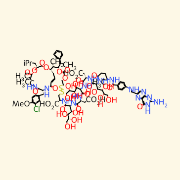 COc1ccc(C[C@H]2NC(=O)/C=C/C[C@@H]([C@H](C)[C@@H](OC(=O)OCCSSC[C@@H](NC(=O)[C@@H](NC(=O)[C@H](CC(=O)O)NC(=O)C(NC(=O)[C@H](CC(=O)O)NC(=O)[C@@H](NC(=O)CC[C@@H](C)NC(=O)c3ccc(NCc4cnc5nc(N)[nH]c(=O)c5n4)cc3)[C@@H](O)[C@H](O)[C@H](O)CO)[C@@H](O)[C@H](O)[C@H](O)CO)[C@@H](O)[C@H](O)[C@H](O)CO)C(=O)O)[C@@H](C)c3ccccc3)OC(=O)[C@H](CC(C)C)OC(=O)C(C)(C)CNC2=O)cc1Cl